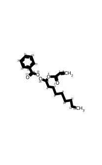 C=CC(=O)OC(CCCCCCCC)OOC(=O)c1ccccc1